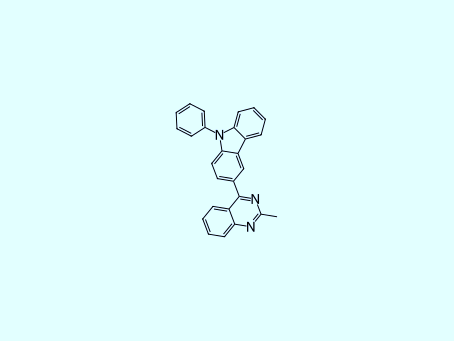 Cc1nc(-c2ccc3c(c2)c2ccccc2n3-c2ccccc2)c2ccccc2n1